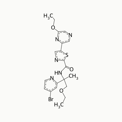 CCOCC(C)(NC(=O)c1ncc(-c2cncc(OCC)n2)s1)c1cc(Br)ccn1